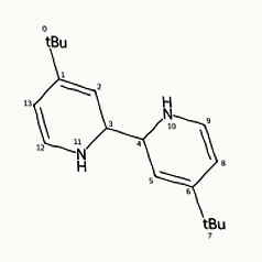 CC(C)(C)C1=CC(C2C=C(C(C)(C)C)C=CN2)NC=C1